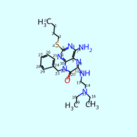 CCCCSc1nc(N)c2nc(NCCN(CC)CC)c(=O)n(Cc3ccccc3)c2n1